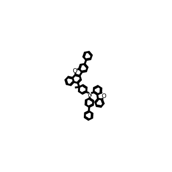 CC1(c2cc3c4ccc(-c5ccccc5)cc4oc3c3ccccc23)C=CC(N(c2ccc(-c3ccccc3)cc2)c2cccc3oc4ccccc4c23)=CC1